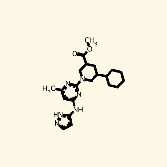 COC(=O)C1CC(C2CCCCC2)CN(c2nc(C)cc(Nc3ccn[nH]3)n2)C1